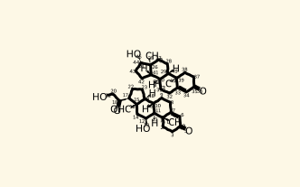 C[C@]12CCC(=O)C=C1CC[C@@H]1[C@@H]2[C@@H](O)C[C@]2(C=O)[C@@H](C(=O)CO)CC[C@@H]12.C[C@]12CC[C@H]3[C@@H](CCC4=CC(=O)CC[C@@]43C)[C@@H]1CC[C@@H]2O